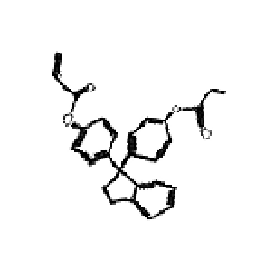 C=CC(=O)Oc1ccc(C2(c3ccc(OC(=O)C=C)cc3)CCc3ccccc32)cc1